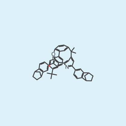 CC(C)(C)c1ccc2c(c1)-c1cc(cc(-c3ccc4c(c3)C3CCC4C3)n1)C(C)(C)c1ccc(c(-c3cccc(-c4ccc5c(c4)C4CCC5C4)n3)c1)O2